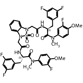 COc1ccc(N(C)C(=O)[C@H](Cc2cc(F)cc(F)c2)NC(=O)CN2c3ccccc3N(CC(=O)N[C@@H](Cc3cc(F)cc(F)c3)C(=O)N(C)c3ccc(OC)c(F)c3)S2(=O)=O)cc1F